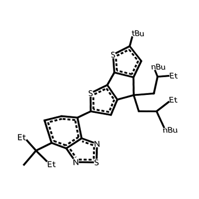 CCCCC(CC)CC1(CC(CC)CCCC)c2cc(-c3ccc(C(C)(CC)CC)c4nsnc34)sc2-c2sc(C(C)(C)C)cc21